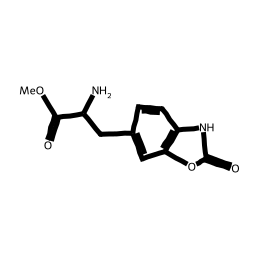 COC(=O)C(N)Cc1ccc2[nH]c(=O)oc2c1